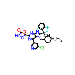 CC1CCC(Cn2c(C(C)(F)c3c(F)cccc3F)nc3nc(-c4n[nH]c(=O)o4)nc(-c4cncc(Cl)c4)c32)CC1